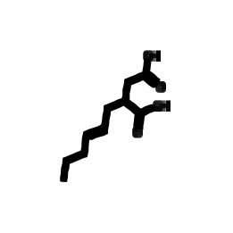 CCCC=CCC(CC(=O)O)C(=O)O